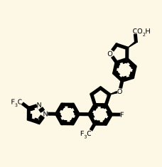 O=C(O)C[C@@H]1COc2cc(O[C@@H]3CCc4c(-c5ccc(-n6ccc(C(F)(F)F)n6)cc5)c(C(F)(F)F)cc(F)c43)ccc21